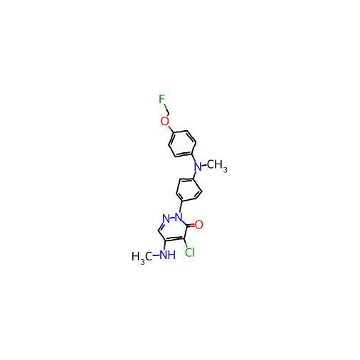 CNc1cnn(-c2ccc(N(C)c3ccc(OCF)cc3)cc2)c(=O)c1Cl